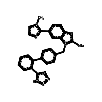 CCCCc1nc2ccc(-c3nccn3C)cc2n1Cc1ccc(-c2ccccc2-c2nnn[nH]2)cc1